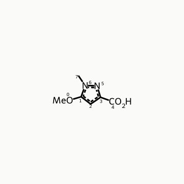 COc1cc(C(=O)O)nn1C